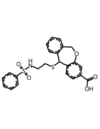 O=C(O)c1ccc2c(c1)OCc1ccccc1C2SCCNS(=O)(=O)c1ccccc1